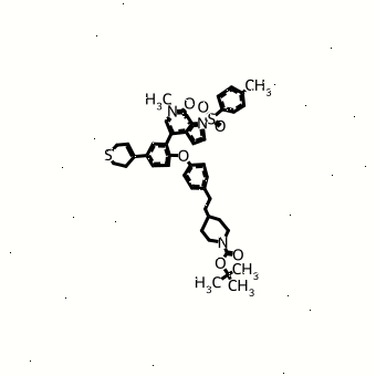 Cc1ccc(S(=O)(=O)n2ccc3c(-c4cc(C5=CCSCC5)ccc4Oc4ccc(CCC5CCN(C(=O)OC(C)(C)C)CC5)cc4)cn(C)c(=O)c32)cc1